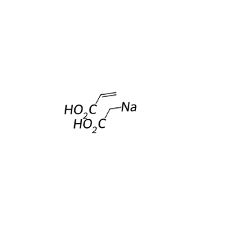 C=CC(=O)O.O=C(O)[CH2][Na]